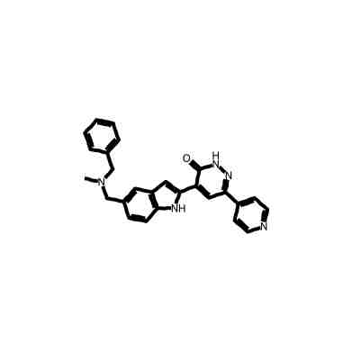 CN(Cc1ccccc1)Cc1ccc2[nH]c(-c3cc(-c4ccncc4)n[nH]c3=O)cc2c1